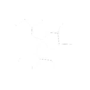 CCC(C)O[Si](O)(OC(C)CC)OC(C)CC.[Zr]